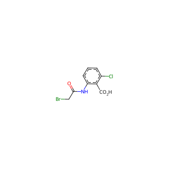 O=C(CBr)Nc1cccc(Cl)c1C(=O)O